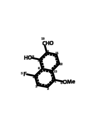 COc1ccc(F)c2c(O)c(C=O)ccc12